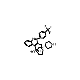 O=C(O)c1c(C[N+]2(C3CCNCC3)CCCCC2)c(-c2ccc(C(F)(F)F)cc2)nc2ccccc12